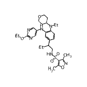 CCOc1ncc(Nc2cc(C(CC)CNS(=O)(=O)c3c(C)noc3C)ccc2N(CC)C2CCOCC2)cn1